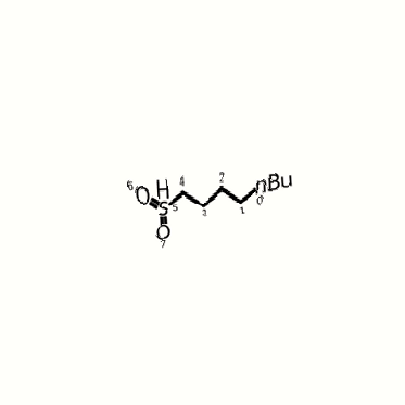 [CH2]CCCCCCC[SH](=O)=O